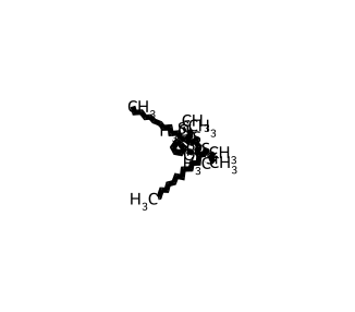 CCCCCCCCCCCCc1c([Si](C)(C)C)sc2c1P(=O)(c1ccccc1)c1c-2sc([Si](C)(C)C)c1CCCCCCCCCCCC